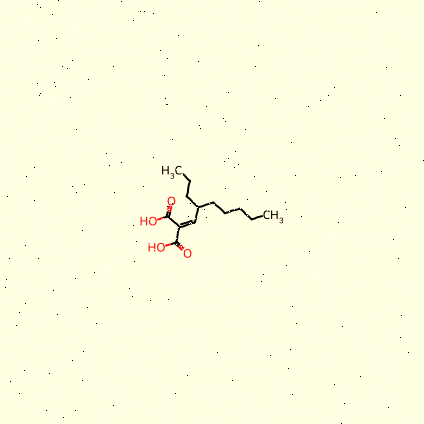 CCCCCC(C=C(C(=O)O)C(=O)O)CCC